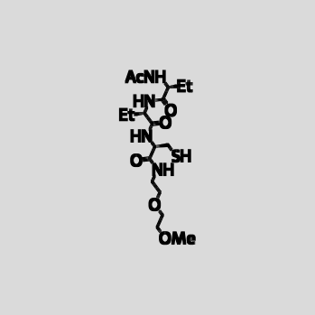 CC[C@H](NC(C)=O)C(=O)N[C@H](CC)C(=O)N[C@@H](CS)C(=O)NCCOCCOC